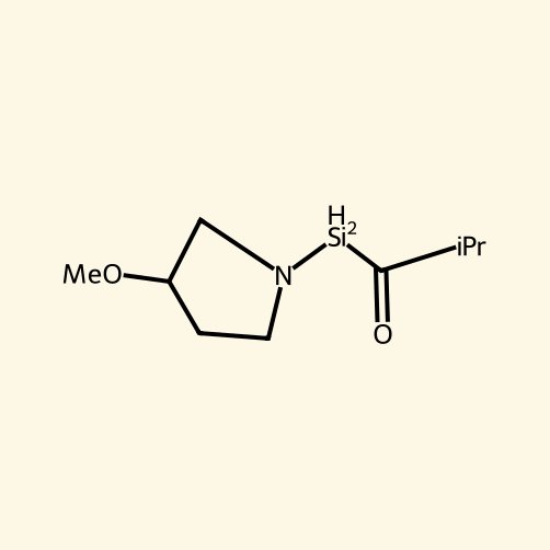 COC1CCN([SiH2]C(=O)C(C)C)C1